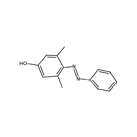 Cc1cc(O)cc(C)c1N=Nc1ccccc1